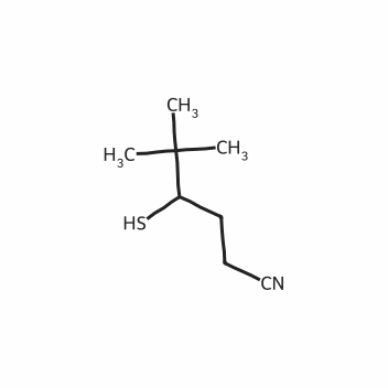 CC(C)(C)C(S)CCC#N